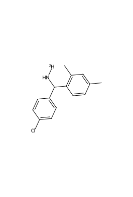 [2H]NC(c1ccc(Cl)cc1)c1ccc(C)cc1C